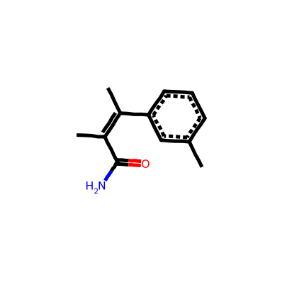 CC(C(N)=O)=C(C)c1cccc(C)c1